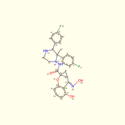 CC1(c2ccc(F)cc2)C(c2ccc(F)cc2)NCCN1NC(=O)C12CC1C(=NO)c1c(O)cccc1O2